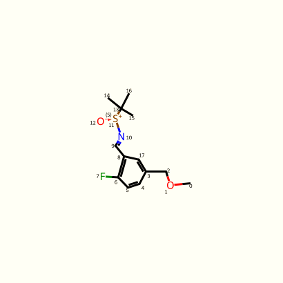 COCc1ccc(F)c(C=N[S@+]([O-])C(C)(C)C)c1